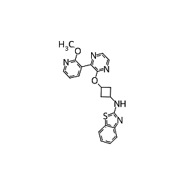 COc1ncccc1-c1nccnc1OC1CC(Nc2nc3ccccc3s2)C1